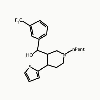 CCCCCN1CCC(c2cccs2)C(C(O)c2cccc(C(F)(F)F)c2)C1